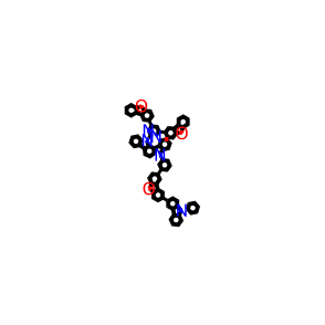 c1ccc(-n2c3ccccc3c3cc(-c4ccc5oc6ccc(-c7cccc(-n8c9ccccc9c9c8ccc8c%10ccccc%10n(-c%10nc(-c%11ccc%12oc%13ccccc%13c%12c%11)cc(-c%11ccc%12oc%13ccccc%13c%12c%11)n%10)c89)c7)cc6c5c4)ccc32)cc1